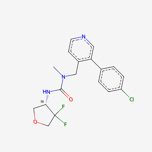 CN(Cc1ccncc1-c1ccc(Cl)cc1)C(=O)N[C@H]1COCC1(F)F